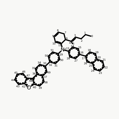 CCC/C=C(\C)C1CC=CC=C1N(c1ccc(-c2ccc3ccccc3c2)cc1)c1ccc(-c2ccc3c(ccc4oc5ccccc5c43)c2)cc1